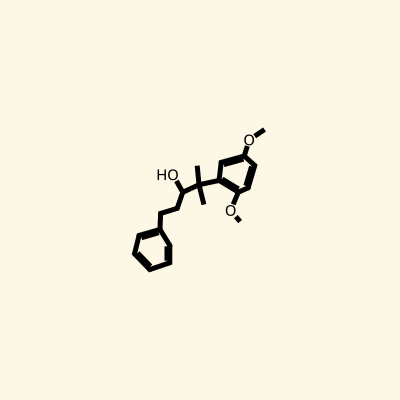 COc1ccc(OC)c(C(C)(C)C(O)CCc2ccccc2)c1